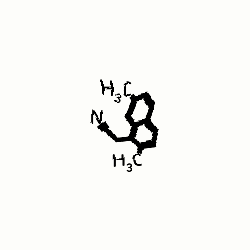 Cc1ccc2ccc(C)c(CC#N)c2c1